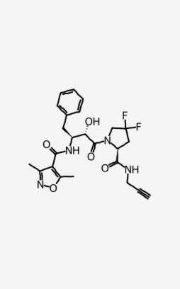 C#CCNC(=O)[C@@H]1CC(F)(F)CN1C(=O)[C@@H](O)[C@H](Cc1ccccc1)NC(=O)c1c(C)noc1C